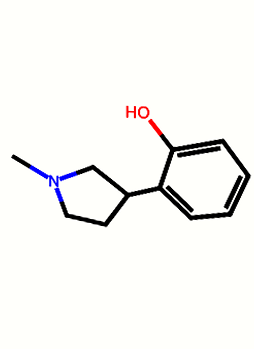 CN1CCC(c2ccccc2O)C1